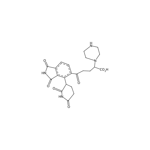 O=C1CCC(c2c(C(=O)CCC(C(=O)O)N3CCNCC3)ccc3c2C(=O)NC3=O)C(=O)N1